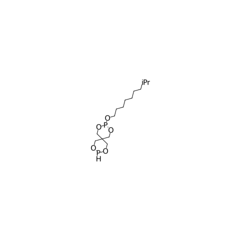 CC(C)CCCCCCCOP1OCC2(COPOC2)CO1